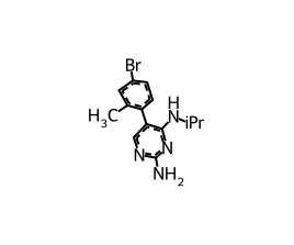 Cc1cc(Br)ccc1-c1cnc(N)nc1NC(C)C